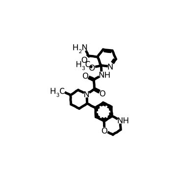 COC1(NC(=O)C(=O)N2CC(C)CCC2c2ccc3c(c2)OCCN3)N=CC=CC1C(N)=O